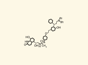 CC(C)N(CC[C@H](c1ccccc1)c1cc(CCOc2ccc(CC(C)(C)NC[C@H](O)c3ccc(O)c4[nH]c(=O)ccc34)cc2)ccc1O)C(C)C